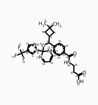 CC1(C)CC(C(OC2(n3cc(C(F)(F)F)cn3)N=CC=CN2)c2ccc(C(=O)NCCC(=O)O)cc2)C1